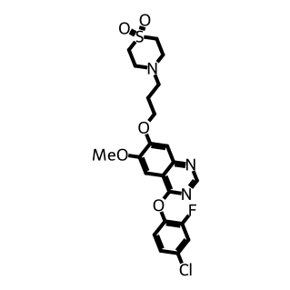 COc1cc2c(Oc3ccc(Cl)cc3F)ncnc2cc1OCCCN1CCS(=O)(=O)CC1